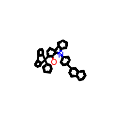 c1ccc2c(c1)Oc1c(ccc3c4ccccc4n(-c4ccc(-c5ccc6ccccc6c5)cc4)c13)C21c2ccccc2-c2ccccc21